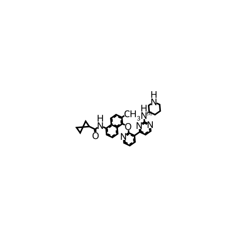 Cc1ccc2c(NC(=O)C3CC34CC4)cccc2c1Oc1ncccc1-c1ccnc(N[C@H]2CCCNC2)n1